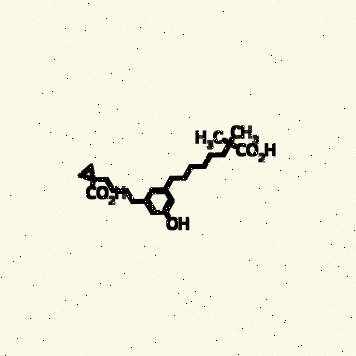 CC(C)(CCCCCCc1cc(O)cc(CCCCC2(C(=O)O)CC2)c1)C(=O)O